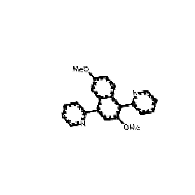 COc1ccc2c(-c3ccccn3)c(OC)cc(-c3ccccn3)c2c1